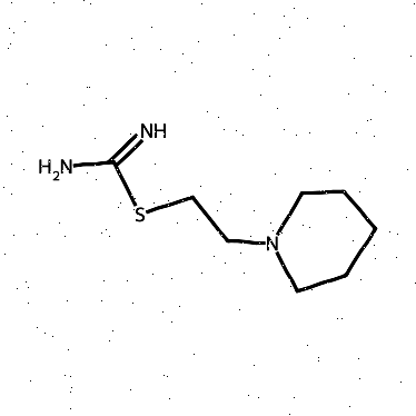 N=C(N)SCCN1CCCCC1